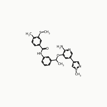 CSc1cc(C(=O)Nc2cccc(C(C)Oc3cc(-c4cnn(C)c4)cnc3N)c2)ccc1C